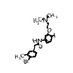 Cc1cc(CC(=O)Nc2ccc(I)c(OCCN(C)C)c2)ccc1Br